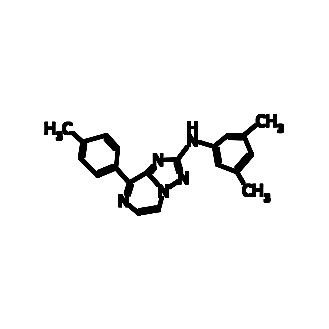 Cc1ccc(-c2nccn3nc(Nc4cc(C)cc(C)c4)nc23)cc1